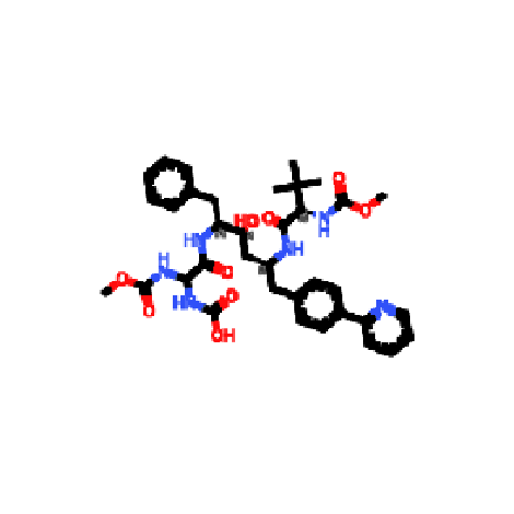 COC(=O)NC(NC(=O)O)C(=O)N[C@@H](Cc1ccccc1)[C@@H](O)C[C@H](Cc1ccc(-c2ccccn2)cc1)NC(=O)[C@@H](NC(=O)OC)C(C)(C)C